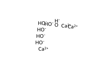 [Ca+2].[Ca+2].[Ca+2].[OH-].[OH-].[OH-].[OH-].[OH-].[OH-]